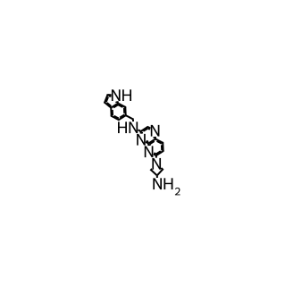 NC1CN(c2ccc3ncc(NCc4ccc5cc[nH]c5c4)nc3n2)C1